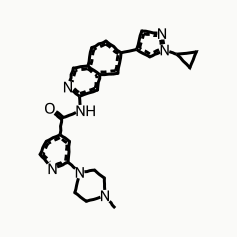 CN1CCN(c2cc(C(=O)Nc3cc4cc(-c5cnn(C6CC6)c5)ccc4cn3)ccn2)CC1